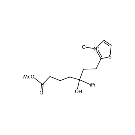 COC(=O)CCCC(O)(CCc1scc[n+]1[O-])C(C)C